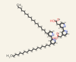 CCCCCCCCCCCCCCCCCCc1ccnc(-c2cc(CCCCCCCCCCCCCCCCCC)ccn2)c1.O=C(O)Cc1ccnc(-c2cc(CC(=O)O)ccn2)c1